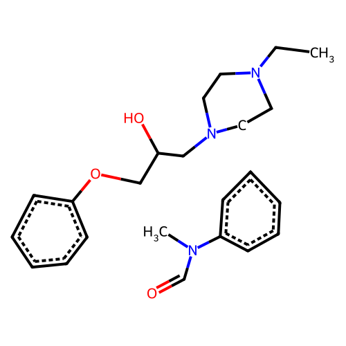 CCN1CCN(CC(O)COc2ccccc2)CC1.CN(C=O)c1ccccc1